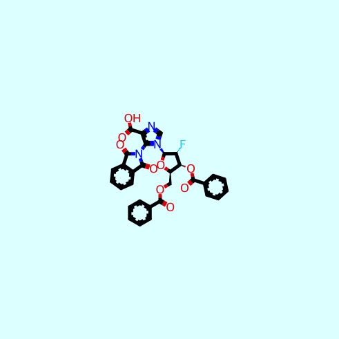 O=C(OC[C@H]1O[C@@H](n2cnc(C(=O)O)c2N2C(=O)c3ccccc3C2=O)[C@H](F)[C@@H]1OC(=O)c1ccccc1)c1ccccc1